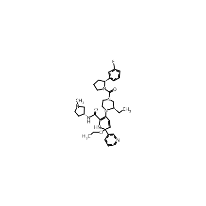 CCOC1(c2cccnc2)C=CC(N2CCN(C(=O)N3CCC[C@H]3c3cccc(F)c3)C[C@H]2CC)=C(C(=O)N[C@@H]2CCN(C)C2)N1